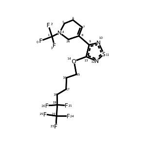 FC(F)(F)N1CCC=C(c2nsnc2OCCCCC(F)(F)C(F)(F)F)C1